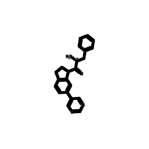 N[C@@H](Cc1ccccc1)C(=O)N1CCc2ccc(-c3cncnc3)cc21